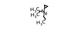 CCC[N]N(C(C)C)C1CC1